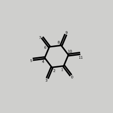 C=c1c(=C)c(=C)c(=C)c(=C)c1=C